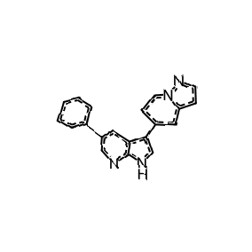 c1ccc(-c2cnc3[nH]cc(-c4ccn5nccc5c4)c3c2)cc1